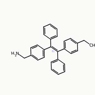 CCc1ccc(/C(=C(\c2ccccc2)c2ccc(CN)cc2)c2ccccc2)cc1